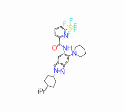 CC(C)[C@H]1CC[C@H](n2cc3cc(NC(=O)c4cccc(S(F)(F)(F)(F)F)n4)c(N4CCCCC4)cc3n2)CC1